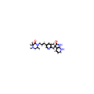 CC1CN(C)C(C)(C)C(=O)N1C/C=C/c1cnc2c(c1)C[C@@]1(C2)C(=O)NC2=C1C=CCN2